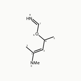 CN/C(C)=C/C(C)OC=N